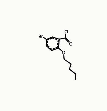 CCCCCOc1ccc(Br)cc1C(=O)Cl